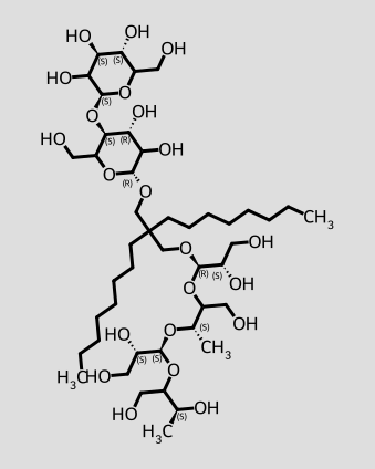 CCCCCCCCC(CCCCCCCC)(CO[C@@H]1OC(CO)[C@@H](O[C@@H]2OC(CO)[C@@H](O)[C@H](O)C2O)[C@H](O)C1O)CO[C@H](OC(CO)[C@H](C)O[C@@H](OC(CO)[C@H](C)O)[C@@H](O)CO)[C@@H](O)CO